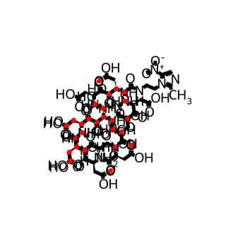 Cc1ncc([N+](=O)[O-])n1CCNC(=O)[C@H](CC(=O)O)NN[C@@H](CC(=O)O)C(=O)C(=O)[C@H](CC(=O)O)NN[C@@H](CC(=O)O)C(=O)C(=O)[C@H](CC(=O)O)NN[C@@H](CC(=O)O)C(=O)C(=O)[C@H](CC(=O)O)NN[C@@H](CC(=O)O)C(=O)C(=O)[C@H](CC(=O)O)NC(=O)[C@H](CC(=O)O)NC(=O)[C@H](CC(=O)O)NN[C@@H](CC(=O)O)C(=O)C(=O)[C@H](CC(=O)O)NC(=O)[C@H](CC(=O)O)NC(=O)[C@@H](N)CC(=O)O